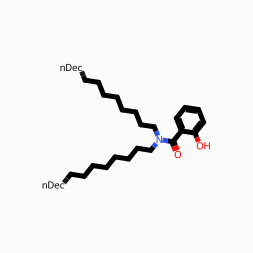 CCCCCCCCCCCCCCCCCCN(CCCCCCCCCCCCCCCCCC)C(=O)c1ccccc1O